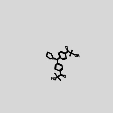 CC(C)(O)C(=O)c1ccc(C(c2ccc(C(=O)C(C)(C)O)cc2)N2CCCC2)cc1